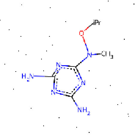 CC(C)ON(C)c1nc(N)nc(N)n1